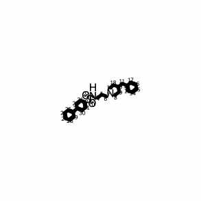 O=S(=O)(NCCCN1CCC(Cc2ccccc2)CC1)c1ccc(-c2ccccc2)cc1